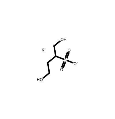 O=S(=O)([O-])C(CO)CCO.[K+]